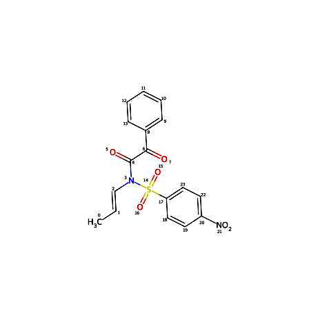 C/C=C/N(C(=O)C(=O)c1ccccc1)S(=O)(=O)c1ccc([N+](=O)[O-])cc1